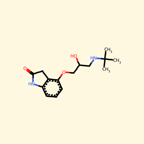 CC(C)(C)NCC(O)COc1cccc2c1CC(=O)N2